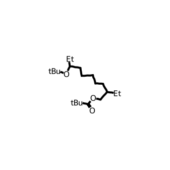 CCC(CCCCCC(CC)OC(C)(C)C)COC(=O)C(C)(C)C